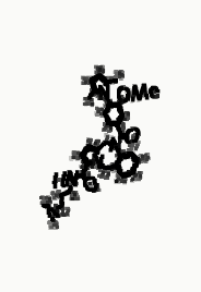 COc1cc(C(=O)N2Cc3ccc(C(=O)NCCCN(C)C)n3Cc3ccccc32)ccc1-n1c(C)ccc1C